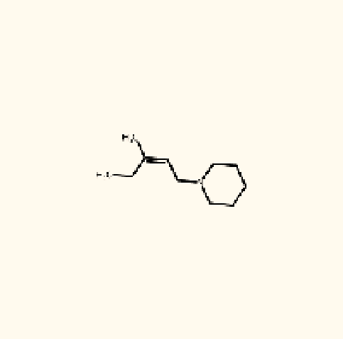 CC/C(C)=C\CN1CCCCC1